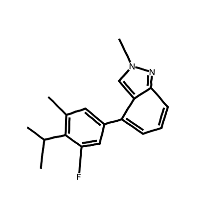 Cc1cc(-c2cccc3nn(C)cc23)cc(F)c1C(C)C